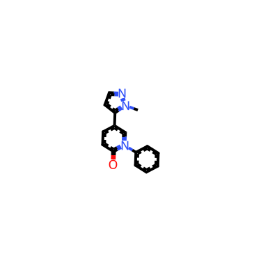 Cn1nccc1-c1ccc(=O)n(-c2ccccc2)c1